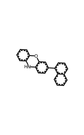 c1ccc2c(c1)Nc1ccc(-c3cccc4ccccc34)cc1O2